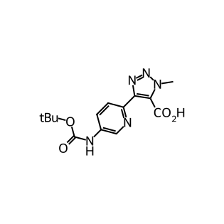 Cn1nnc(-c2ccc(NC(=O)OC(C)(C)C)cn2)c1C(=O)O